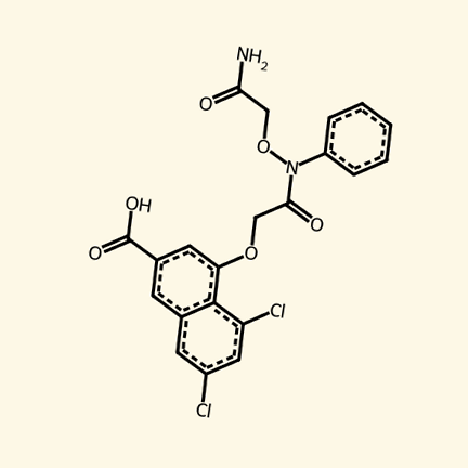 NC(=O)CON(C(=O)COc1cc(C(=O)O)cc2cc(Cl)cc(Cl)c12)c1ccccc1